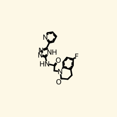 O=C(CN1C(=O)CCc2cc(F)ccc21)Nc1nnc(-c2ccccn2)[nH]1